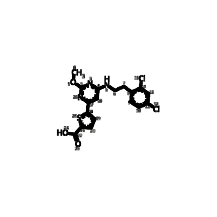 COc1nc(NCCc2ccc(Cl)cc2Cl)cc(-c2ccc(C(=O)O)s2)n1